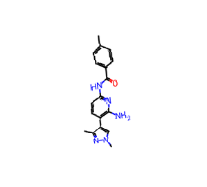 Cc1ccc(C(=O)Nc2ccc(-c3cn(C)nc3C)c(N)n2)cc1